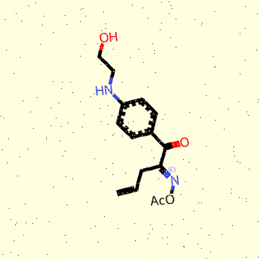 C=CC/C(=N\OC(C)=O)C(=O)c1ccc(NCCO)cc1